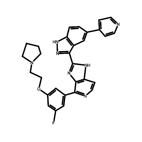 Fc1cc(OCCN2CCCC2)cc(-c2nccc3[nH]c(-c4n[nH]c5ccc(-c6ccncc6)cc45)nc23)c1